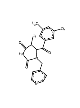 Cc1cc(C#N)cc(C(=O)C2C(C(C)C)C(=O)NC(=O)N2Cc2ccncc2)c1